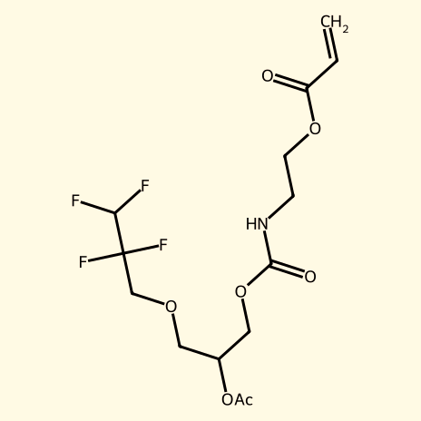 C=CC(=O)OCCNC(=O)OCC(COCC(F)(F)C(F)F)OC(C)=O